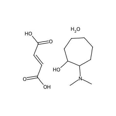 CN(C)C1CCCCCC1O.O.O=C(O)C=CC(=O)O